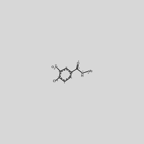 CCCNC(=O)c1ccc(Cl)c([N+](=O)[O-])c1